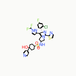 O=S(=O)(NC1CC2=C(c3ccn(C(F)F)n3)[C@H](c3ccc(F)cc3Cl)N=C(c3nccs3)N2C1)C1CCC(O)(c2ccncc2)CC1